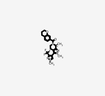 C[C@H]1c2nn(C)c(-c3cn(C)nc3C(F)(F)F)c2CCN1C(=O)c1ccc2c(c1)OCCC2